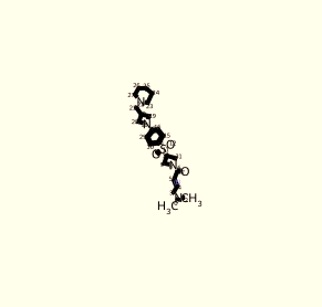 CN(C)C/C=C/C(=O)N1CC(S(=O)(=O)c2ccc(N3CC(CN4CC[CH]CC4)C3)cc2)C1